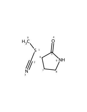 CSC#N.O=C1CCCN1